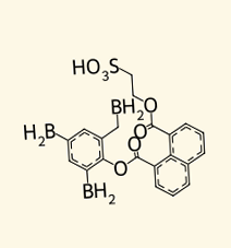 BCc1cc(B)cc(B)c1OC(=O)c1cccc2cccc(C(=O)OCCS(=O)(=O)O)c12